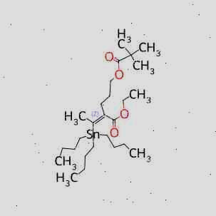 CCC[CH2][Sn]([CH2]CCC)([CH2]CCC)/[C](C)=C(/CCCOC(=O)C(C)(C)C)C(=O)OCC